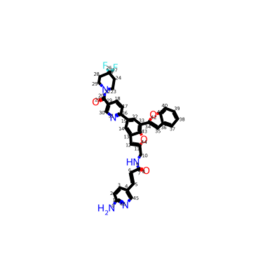 Nc1ccc(C=CC(=O)NCc2cc3cc(-c4ccc(C(=O)N5CCC(F)(F)CC5)cn4)cc(-c4cc5ccccc5o4)c3o2)cn1